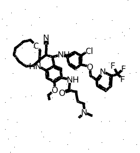 CCOc1cc2c(cc1NC(=O)CCCN(C)C)C(Nc1ccc(OCc3cccc(C(F)(F)F)n3)c(Cl)c1)C(C#N)C1(CCCCCCCCC1)N2